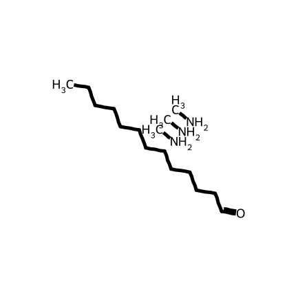 CCCCCCCCCCCCC=O.CN.CN.CN